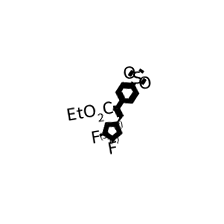 CCOC(=O)C(=C[C@H]1C[C@@H](F)[C@@H](F)C1)c1ccc(S(C)(=O)=O)cc1